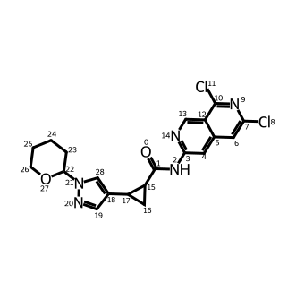 O=C(Nc1cc2cc(Cl)nc(Cl)c2cn1)C1CC1c1cnn(C2CCCCO2)c1